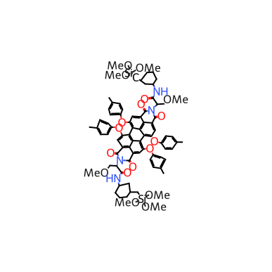 COCC(C(=O)NC1CCCC(C[Si](OC)(OC)OC)C1)N1C(=O)c2cc(Oc3ccc(C)cc3)c3c4c(Oc5ccc(C)cc5)cc5c6c(cc(Oc7ccc(C)cc7)c(c7c(Oc8ccc(C)cc8)cc(c2c37)C1=O)c64)C(=O)N(C(COC)C(=O)NC1CCCC(C[Si](OC)(OC)OC)C1)C5=O